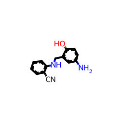 N#Cc1ccccc1NCc1cc(N)ccc1O